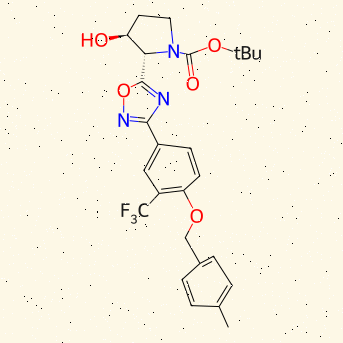 Cc1ccc(COc2ccc(-c3noc([C@@H]4[C@@H](O)CCN4C(=O)OC(C)(C)C)n3)cc2C(F)(F)F)cc1